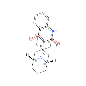 O=c1[nH]c2ccccc2c(=O)n1[C@H]1C[C@H]2CCC[C@@H](C1)N2[C@H]1C[C@@H]2CCC[C@@H](C2)C1